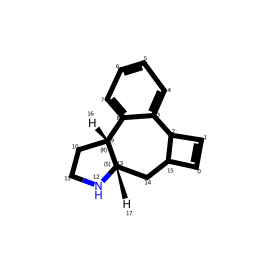 C1=CC2c3ccccc3[C@H]3CCN[C@H]3CC12